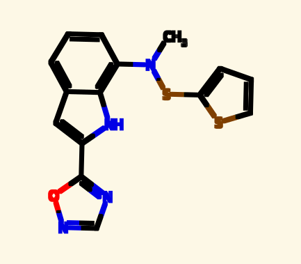 CN(Sc1cccs1)c1cccc2cc(-c3ncno3)[nH]c12